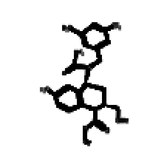 COC[C@@H]1C[C@H](N(Cc2cc(C(F)(F)F)cc(C(F)(F)F)c2)C(N)=O)c2cc(C(F)(F)F)ccc2N1C(=O)OC(C)C